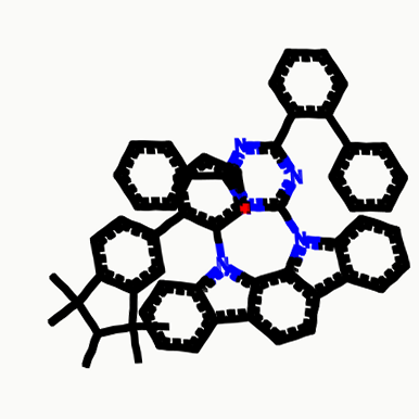 CC1C(C)(C)c2ccc(-c3ccccc3-n3c4ccccc4c4ccc5c6ccccc6n(-c6nc(-c7ccccc7)nc(-c7ccccc7-c7ccccc7)n6)c5c43)cc2C1(C)C